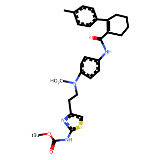 Cc1ccc(C2=C(C(=O)Nc3ccc(N(CCc4csc(NC(=O)OC(C)(C)C)n4)C(=O)O)cc3)CCCC2)cc1